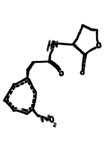 O=C(Cc1cccc([N+](=O)[O-])c1)NC1CCOC1=O